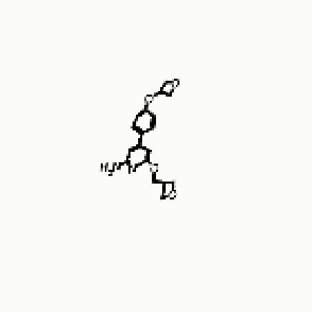 Nc1cc(-c2ccc(OC3COC3)cc2)cc(OCC2COC2)n1